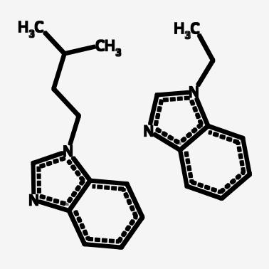 CC(C)CCn1cnc2ccccc21.CCn1cnc2ccccc21